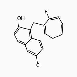 Oc1ccc2cc(Cl)ccc2c1CC1=CCC=CC=C1F